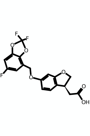 O=C(O)C[C@@H]1COc2cc(OCc3cc(F)cc4c3OC(F)(F)O4)ccc21